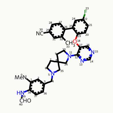 CNc1cc(CN2CCC3(CCN(c4ncncc4Oc4ccc(F)cc4-c4ccc(C#N)cc4C)C3)C2)ccc1NC=O